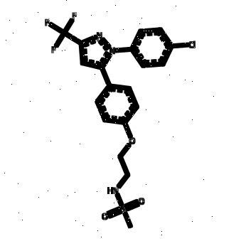 CS(=O)(=O)NCCOc1ccc(-c2cc(C(F)(F)F)nn2-c2ccc(Cl)cc2)cc1